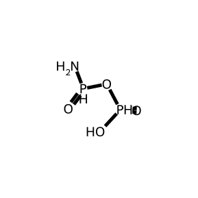 N[PH](=O)O[PH](=O)O